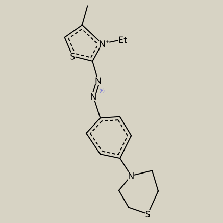 CC[n+]1c(C)csc1/N=N/c1ccc(N2CCSCC2)cc1